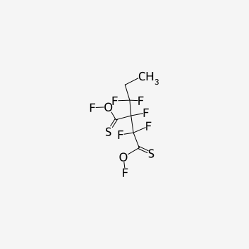 CCC(F)(F)C(F)(C(=S)OF)C(F)(F)C(=S)OF